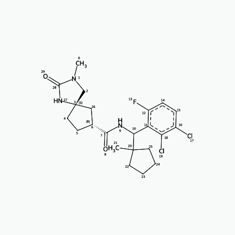 CN1C[C@@]2(CC[C@@H](C(=O)NC(c3c(F)ccc(Cl)c3Cl)C3(C)CCCC3)C2)NC1=O